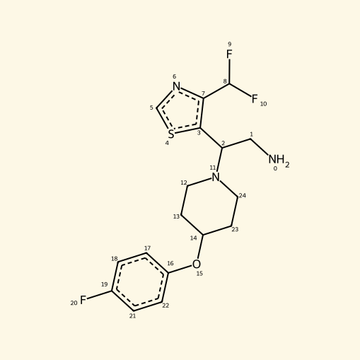 NCC(c1scnc1C(F)F)N1CCC(Oc2ccc(F)cc2)CC1